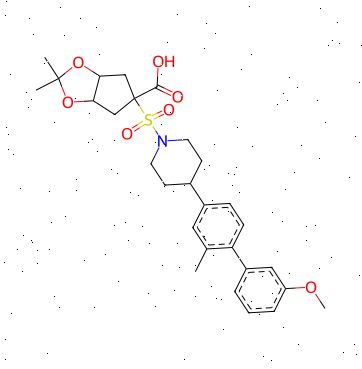 COc1cccc(-c2ccc(C3CCN(S(=O)(=O)C4(C(=O)O)CC5OC(C)(C)OC5C4)CC3)cc2C)c1